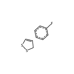 C1=CSSC1.Fc1ccccc1